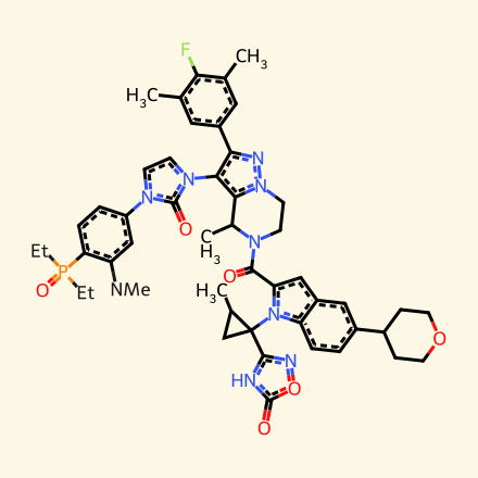 CCP(=O)(CC)c1ccc(-n2ccn(-c3c(-c4cc(C)c(F)c(C)c4)nn4c3C(C)N(C(=O)c3cc5cc(C6CCOCC6)ccc5n3C3(c5noc(=O)[nH]5)CC3C)CC4)c2=O)cc1NC